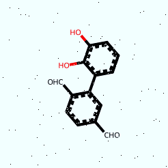 O=Cc1ccc(C=O)c(-c2cccc(O)c2O)c1